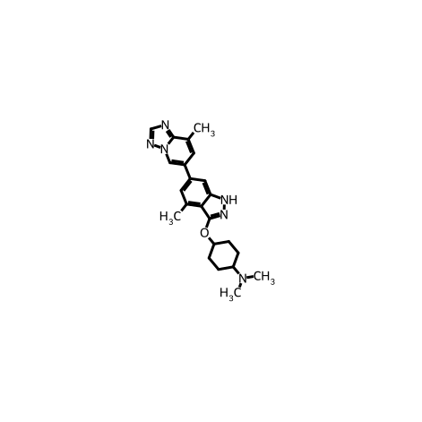 Cc1cc(-c2cc(C)c3ncnn3c2)cc2[nH]nc(OC3CCC(N(C)C)CC3)c12